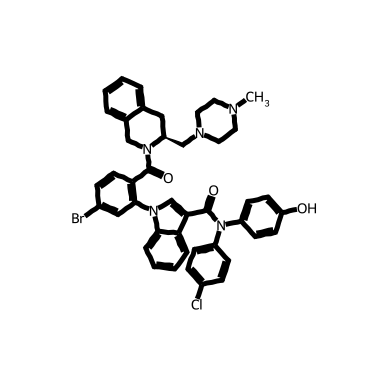 CN1CCN(C[C@@H]2Cc3ccccc3CN2C(=O)c2ccc(Br)cc2-n2cc(C(=O)N(c3ccc(O)cc3)c3ccc(Cl)cc3)c3ccccc32)CC1